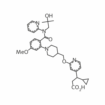 COc1ccc(C(=O)N(CC(C)(C)O)c2ccccn2)c(N2CCC(COc3cc(C(CC(=O)O)C4CC4)ccn3)CC2)c1